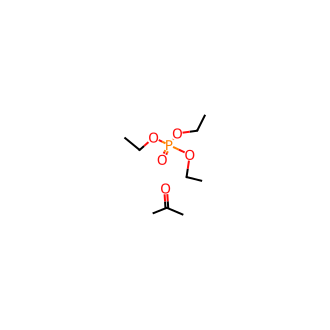 CC(C)=O.CCOP(=O)(OCC)OCC